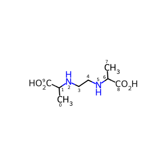 CC(NCCNC(C)C(=O)O)C(=O)O